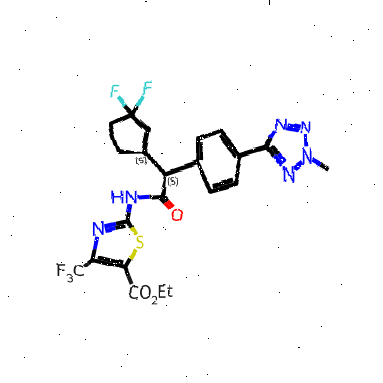 CCOC(=O)c1sc(NC(=O)[C@H](c2ccc(-c3nnn(C)n3)cc2)[C@H]2CCC(F)(F)C2)nc1C(F)(F)F